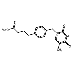 COC(=O)CCCc1ccc(Cn2cc(C)c(=O)[nH]c2=O)cc1